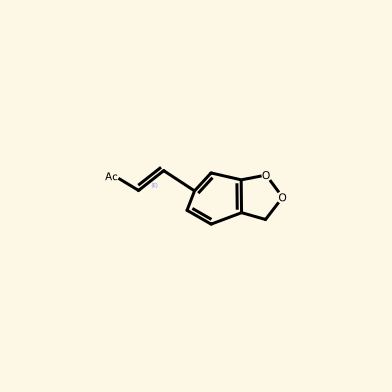 CC(=O)/C=C/c1ccc2c(c1)OOC2